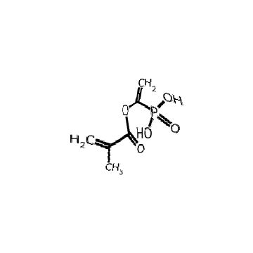 C=C(C)C(=O)OC(=C)P(=O)(O)O